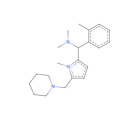 Cc1ccccc1C(c1ccc(CN2CCCCC2)n1C)N(C)C